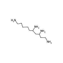 NCCCCCC(N)CC(N)CCN